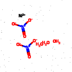 O.O.O.O=[N+]([O-])[O-].O=[N+]([O-])[O-].[Ni+2]